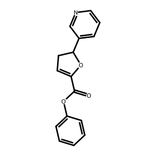 O=C(Oc1ccccc1)C1=CCC(c2cccnc2)O1